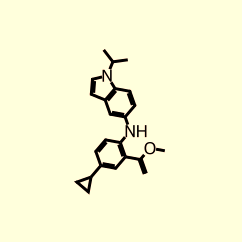 C=C(OC)c1cc(C2CC2)ccc1Nc1ccc2c(ccn2C(C)C)c1